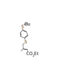 CCOC(=O)C=C(C)CSc1ccc(SC(C)CC)cc1